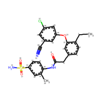 CCc1ccc(CC(=O)Nc2ccc(S(N)(=O)=O)cc2C)cc1Oc1cc(Cl)cc(C#N)c1